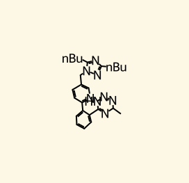 CCCCc1nc(CCCC)n(Cc2ccc(-c3ccccc3C3=NC(C)N=NN3)nc2)n1